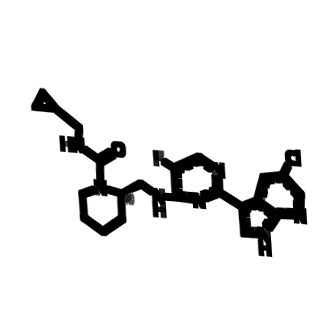 O=C(NCC1CC1)N1CCCC[C@@H]1CNc1nc(-c2c[nH]c3ncc(Cl)cc23)ncc1F